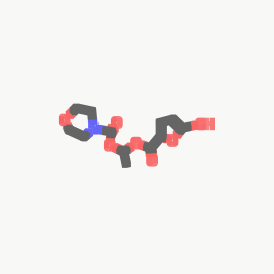 CC(OC(=O)c1ccc(O)o1)OC(=O)N1CCOCC1